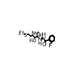 CCSCC[C@@H](N)C(O)C(=O)NNC(=O)c1ccccc1F